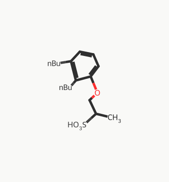 CCCCc1cccc(OCC(C)S(=O)(=O)O)c1CCCC